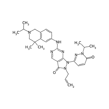 C=CCn1c(=O)c2cnc(Nc3ccc4c(c3)C(C)(C)CN(C(C)C)C4)nc2n1-c1ccc(=O)n(C(C)C)n1